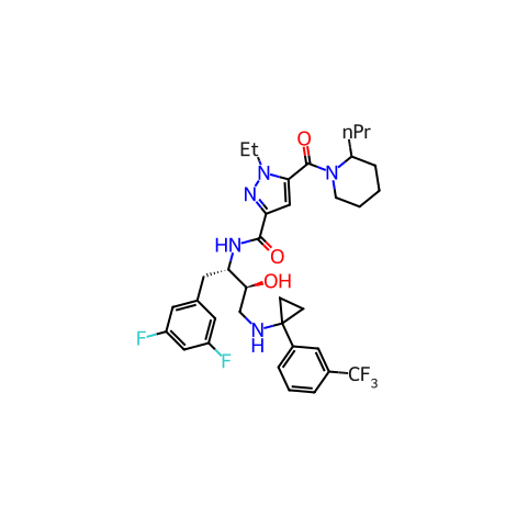 CCCC1CCCCN1C(=O)c1cc(C(=O)N[C@@H](Cc2cc(F)cc(F)c2)[C@@H](O)CNC2(c3cccc(C(F)(F)F)c3)CC2)nn1CC